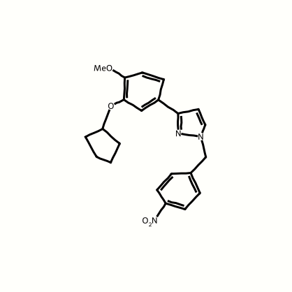 COc1ccc(-c2ccn(Cc3ccc([N+](=O)[O-])cc3)n2)cc1OC1CCCC1